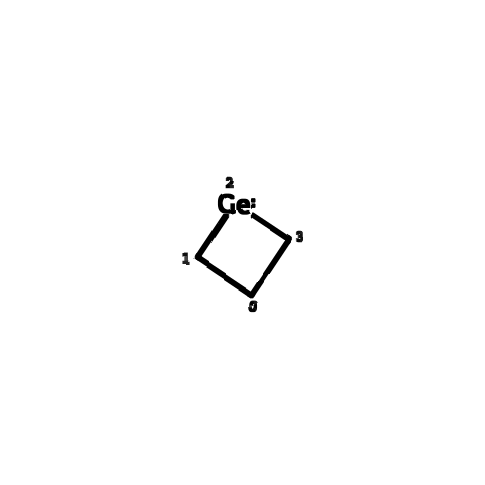 C1[CH2][Ge][CH2]1